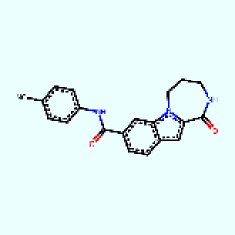 N#Cc1ccc(NC(=O)c2ccc3cc4n(c3c2)CCCNC4=O)cc1